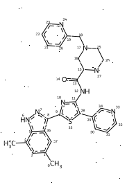 Cc1cc(C)c2[nH]nc(-c3nc(NC(=O)C4CN(Cc5ccccn5)CC[N]4)c(-c4cccnc4)s3)c2c1